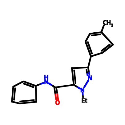 CCn1nc(-c2ccc(C)cc2)cc1C(=O)Nc1ccccc1